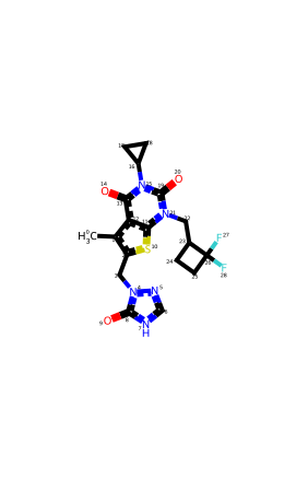 Cc1c(Cn2nc[nH]c2=O)sc2c1c(=O)n(C1CC1)c(=O)n2CC1CCC1(F)F